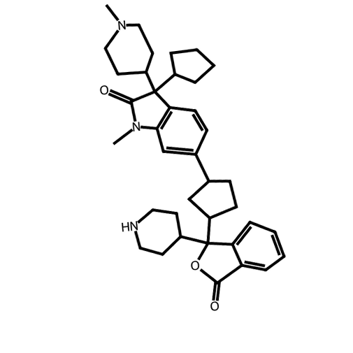 CN1CCC(C2(C3CCCC3)C(=O)N(C)c3cc(C4CCC(C5(C6CCNCC6)OC(=O)c6ccccc65)C4)ccc32)CC1